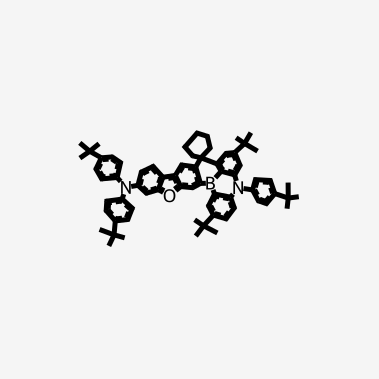 CC(C)(C)c1ccc(N(c2ccc(C(C)(C)C)cc2)c2ccc3c(c2)oc2cc4c(cc23)C2(CCCCC2)c2cc(C(C)(C)C)cc3c2B4c2cc(C(C)(C)C)ccc2N3c2ccc(C(C)(C)C)cc2)cc1